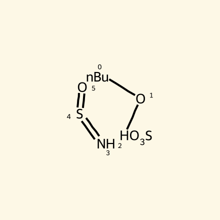 CCCCOS(=O)(=O)O.N=S=O